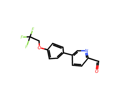 O=Cc1ccc(-c2ccc(OCC(F)(F)F)cc2)cn1